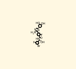 Nc1ncc([C@H]2CC[C@H](O)[C@@H](O)C2)nc1-c1ccc(C(=O)N[C@H](CO)c2cc(F)cc(Br)c2)c(F)c1